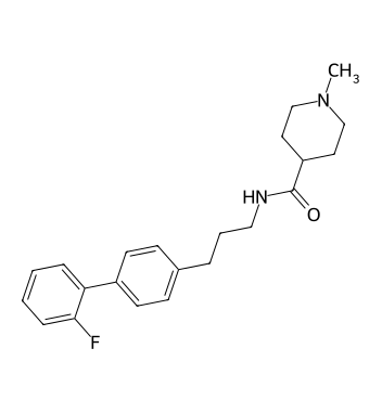 CN1CCC(C(=O)NCCCc2ccc(-c3ccccc3F)cc2)CC1